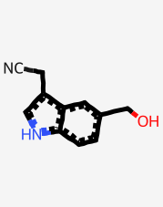 N#CCc1c[nH]c2ccc(CO)cc12